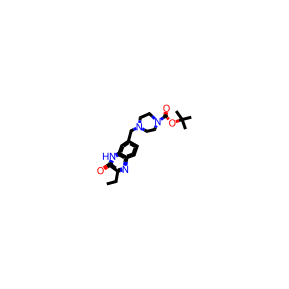 CCc1nc2ccc(CN3CCN(C(=O)OC(C)(C)C)CC3)cc2[nH]c1=O